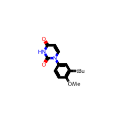 COc1[c]cc(-n2ccc(=O)[nH]c2=O)cc1C(C)(C)C